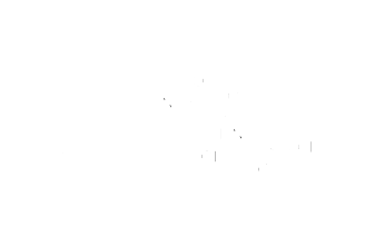 O=C(O)CNC(=O)C1=C(O)CCN(Cc2cccc(-c3ccccc3)c2)C1=O